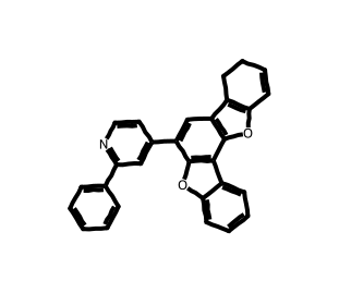 C1=Cc2oc3c(cc(-c4ccnc(-c5ccccc5)c4)c4oc5ccccc5c43)c2CC1